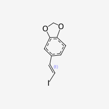 I/C=C/c1ccc2c(c1)OCO2